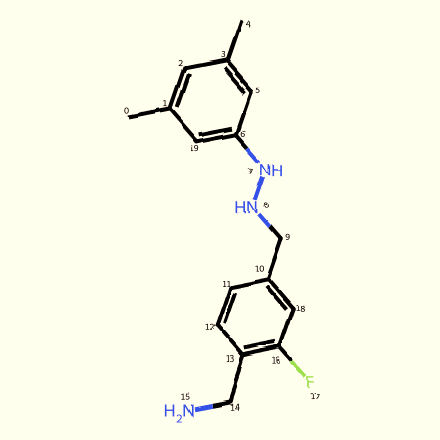 Cc1cc(C)cc(NNCc2ccc(CN)c(F)c2)c1